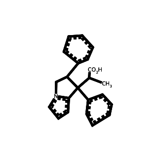 CC(C(=O)O)C1(c2ccccc2)c2cccn2CC1c1ccccc1